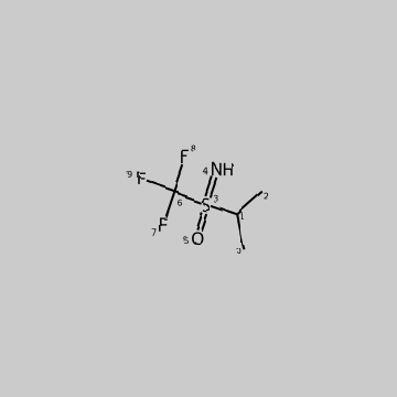 CC(C)S(=N)(=O)C(F)(F)F